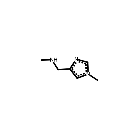 Cn1cnc(CNI)c1